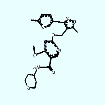 COc1cc(OCc2c(-c3ccc(C)nc3)noc2C)ncc1C(=O)NC1CCOCC1